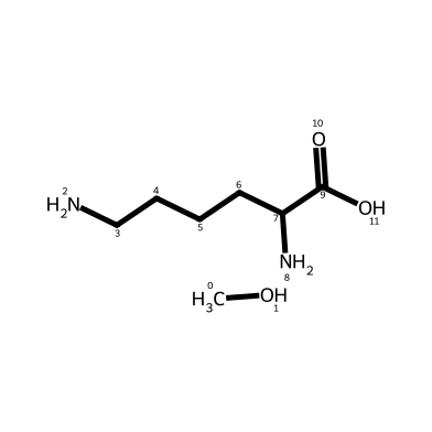 CO.NCCCCC(N)C(=O)O